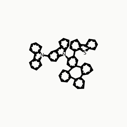 c1ccc2c(c1)-c1ccccc1-c1cc(-c3cccc4c3sc3ccccc34)c(-n3c4ccccc4c4cc(-n5c6ccccc6c6ccccc65)ccc43)cc1-c1ccccc1-2